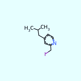 CC(C)Cc1ccnc(CI)c1